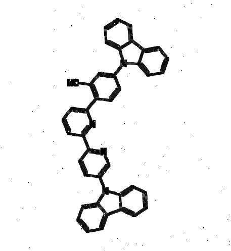 N#Cc1cc(-n2c3ccccc3c3ccccc32)ccc1-c1cccc(-c2ccc(-n3c4ccccc4c4ccccc43)cn2)n1